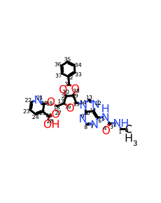 CCNC(=O)Nc1ncnc2c1ncn2C1OC(COc2ncccc2C(=O)O)C2OC(c3ccccc3)OC21